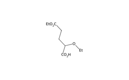 CCOC(=O)CCC(OCC)C(=O)O